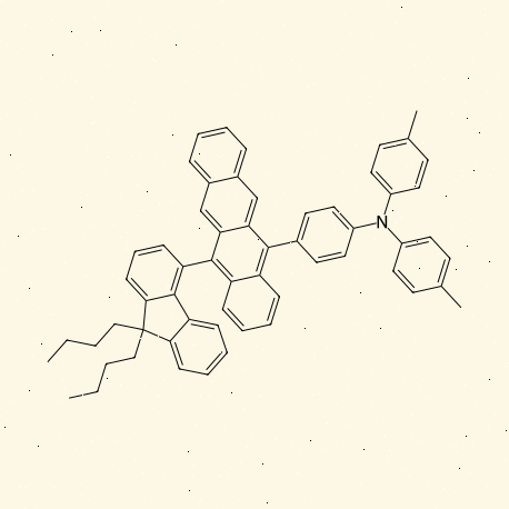 CCCCC1(CCCC)c2ccccc2-c2c(-c3c4ccccc4c(-c4ccc(N(c5ccc(C)cc5)c5ccc(C)cc5)cc4)c4cc5ccccc5cc34)cccc21